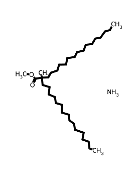 CCCCCCCCCCCCCCCCC(C)(CCCCCCCCCCCCCCCC)C(=O)OC.N